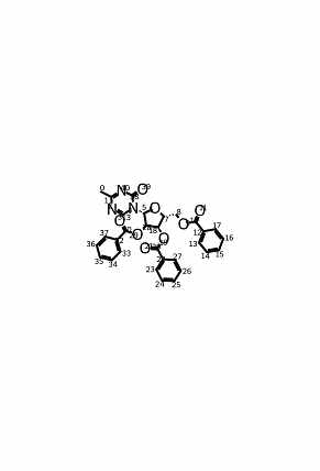 Cc1ncn([C@@H]2O[C@H](COC(=O)c3ccccc3)[C@@H](OC(=O)c3ccccc3)C2OC(=O)c2ccccc2)c(=O)n1